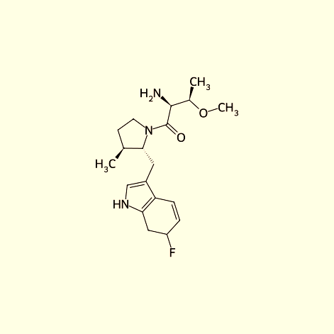 CO[C@H](C)[C@H](N)C(=O)N1CC[C@H](C)[C@H]1Cc1c[nH]c2c1C=CC(F)C2